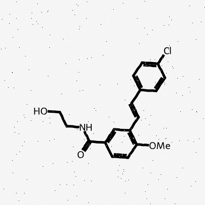 COc1ccc(C(=O)NCCO)cc1C=Cc1ccc(Cl)cc1